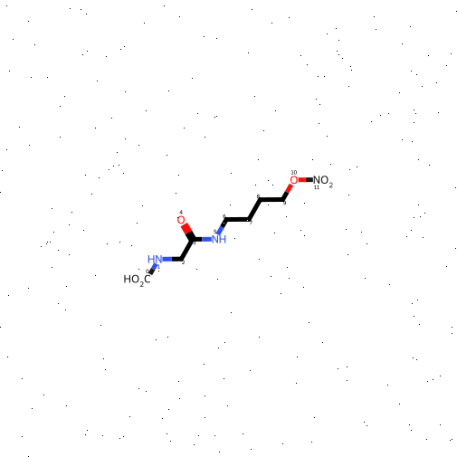 O=C(O)NCC(=O)NCCCCO[N+](=O)[O-]